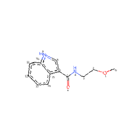 COCCNC(=O)c1c[nH]c2ccccc12